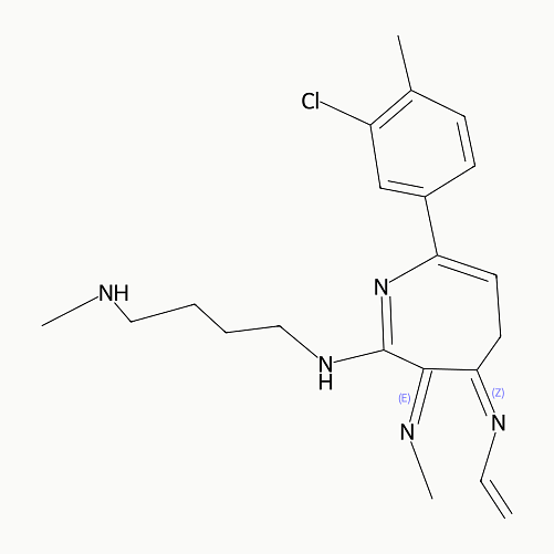 C=C/N=C1/CC=C(c2ccc(C)c(Cl)c2)N=C(NCCCCNC)/C1=N/C